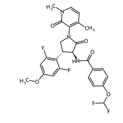 COc1cc(F)c([C@@H]2CN(c3c(C)ccn(C)c3=O)C(=O)[C@H]2NC(=O)c2ccc(OC(F)F)cc2)c(F)c1